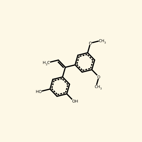 C/C=C(\c1cc(O)cc(O)c1)c1cc(OC)cc(OC)c1